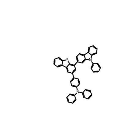 c1ccc(N(c2ccccc2)c2ccc(-c3cc(-c4ccc5c6ccccc6n(-c6ccccc6)c5c4)c4sc5ccccc5c4c3)cc2)cc1